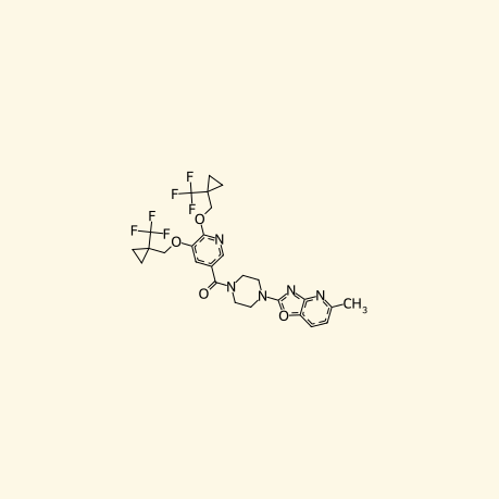 Cc1ccc2oc(N3CCN(C(=O)c4cnc(OCC5(C(F)(F)F)CC5)c(OCC5(C(F)(F)F)CC5)c4)CC3)nc2n1